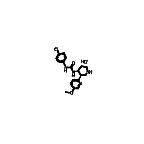 COc1ccc([C@@H]2CNCC[C@H]2NC(=O)Nc2ccc(Cl)cc2)nc1.Cl